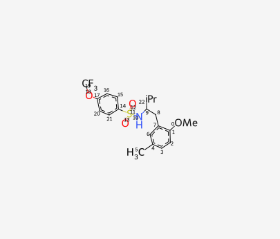 COc1ccc(C)cc1CC(NS(=O)(=O)c1ccc(OC(F)(F)F)cc1)C(C)C